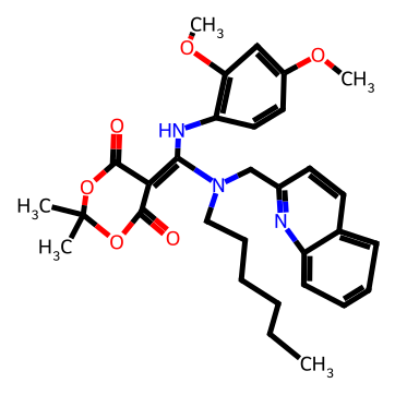 CCCCCCN(Cc1ccc2ccccc2n1)C(Nc1ccc(OC)cc1OC)=C1C(=O)OC(C)(C)OC1=O